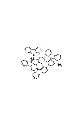 Nc1ccc(-c2c(-c3cccc4c3sc3ccccc34)c(-c3cccc4c3sc3ccccc34)c(N)c(-c3cccc4c3sc3ccccc34)c2-c2cccc3c2sc2ccccc23)cc1